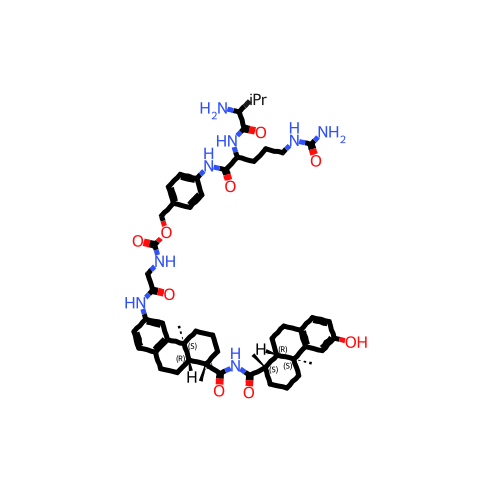 CC(C)C(N)C(=O)NC(CCCNC(N)=O)C(=O)Nc1ccc(COC(=O)NCC(=O)Nc2ccc3c(c2)[C@@]2(C)CCC[C@](C)(C(=O)NC(=O)[C@@]4(C)CCC[C@]5(C)c6cc(O)ccc6CC[C@@H]45)[C@@H]2CC3)cc1